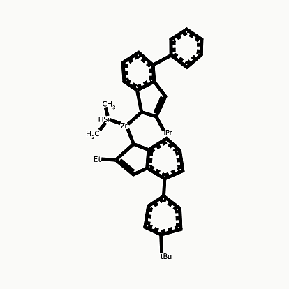 CCC1=Cc2c(-c3ccc(C(C)(C)C)cc3)cccc2[CH]1[Zr]([CH]1C(C(C)C)=Cc2c(-c3ccccc3)cccc21)[SiH](C)C